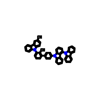 N#Cc1ccc2c(c1)c1ccccc1n2-c1cccc(-c2ccc(-n3c4ccccc4c4c(-n5c6ccccc6c6ccccc65)cccc43)cc2)c1C#N